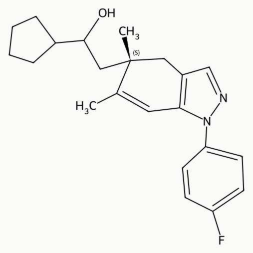 CC1=Cc2c(cnn2-c2ccc(F)cc2)C[C@@]1(C)CC(O)C1CCCC1